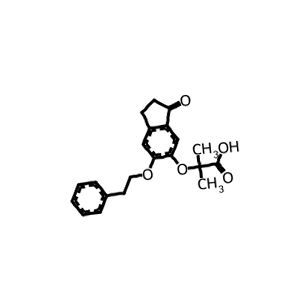 CC(C)(Oc1cc2c(cc1OCCc1ccccc1)CCC2=O)C(=O)O